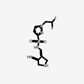 N=C1CNC/C1=C/NS(=O)(=O)c1ccn(CC(F)F)n1